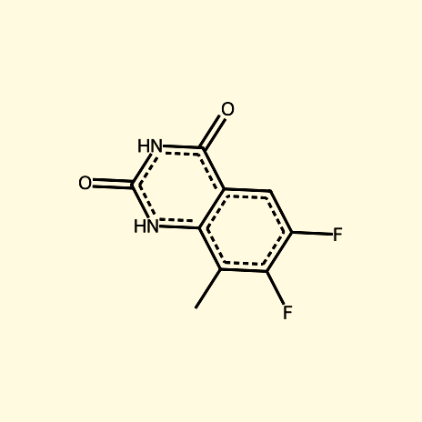 Cc1c(F)c(F)cc2c(=O)[nH]c(=O)[nH]c12